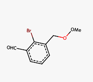 COOCc1cccc(C=O)c1Br